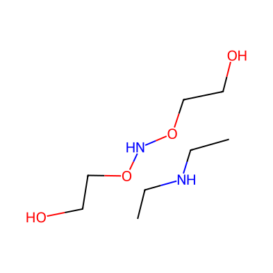 CCNCC.OCCONOCCO